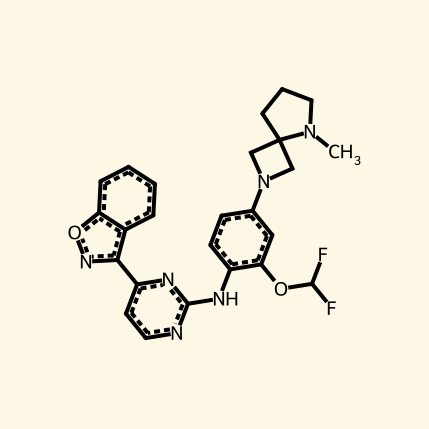 CN1CCCC12CN(c1ccc(Nc3nccc(-c4noc5ccccc45)n3)c(OC(F)F)c1)C2